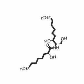 CCCCCCCCCCCCCCC[C@@H](O)C(=O)N[C@@H](CO)[C@H](O)CCCCCCCCCCCCCCC